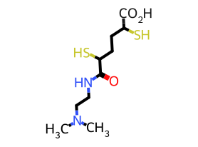 CN(C)CCNC(=O)C(S)CCC(S)C(=O)O